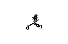 O=C1/C(=C/c2sc(-c3ccc(Cl)cc3)cc2CCCCCN2CCCCC2)SC(=S)N1C1CC2CCC1C2